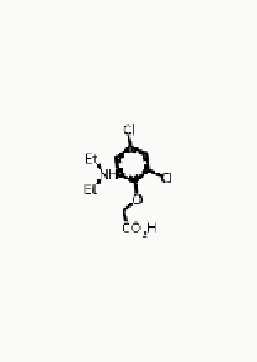 CCNCC.O=C(O)COc1ccc(Cl)cc1Cl